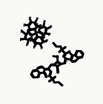 CCCC(C)(C)C1=C/C(=C\C2=C(OC)C(=C/c3cc(C(C)(C)CCC)[o+]c4c3ccc3ccccc34)/C2=O)c2ccc3ccccc3c2O1.Fc1c(F)c(F)c([B-](c2c(F)c(F)c(F)c(F)c2F)(c2c(F)c(F)c(F)c(F)c2F)c2c(F)c(F)c(F)c(F)c2F)c(F)c1F